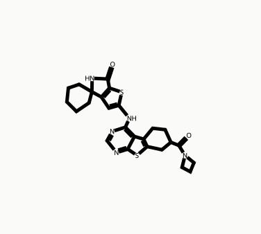 O=C1NC2(CCCCC2)c2cc(Nc3ncnc4sc5c(c34)CCC(C(=O)N3CCC3)C5)sc21